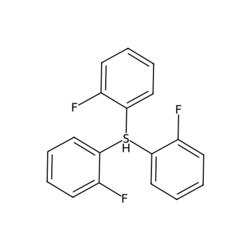 Fc1ccccc1[SH](c1ccccc1F)c1ccccc1F